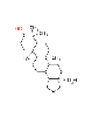 CC1(C)C(O)CCC2(C)C1CCC1(C)C3CCC4(C(=O)O)CCCC4C3CCC12